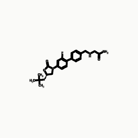 CC(C)(C)C[C@H]1CN(c2ccc(-c3ccc(CNCC(N)=O)cc3)c(F)c2)C(=O)O1